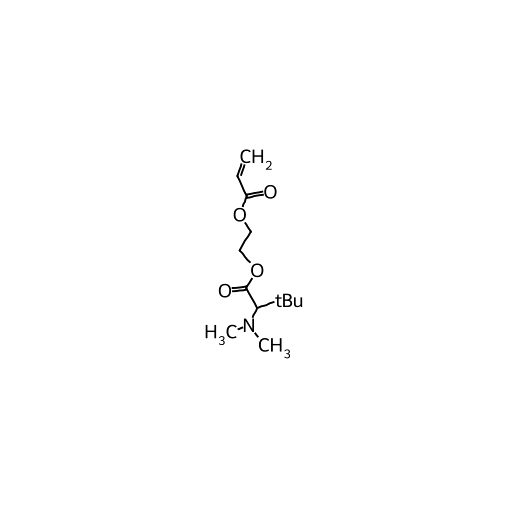 C=CC(=O)OCCOC(=O)C(N(C)C)C(C)(C)C